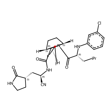 CC(C)C[C@@H](Nc1cccc(Cl)c1)C(=O)N1[C@H]2CC[C@@H]([C@@H]1C(=O)N[C@@H](C#N)C[C@@H]1CCNC1=O)C(F)(F)C2